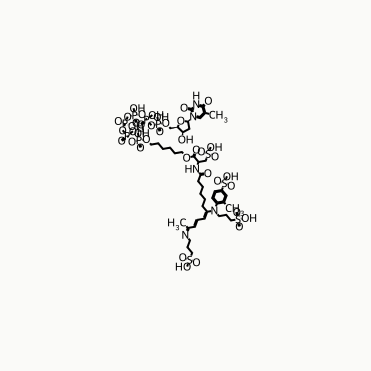 CC(/C=C/C=C(\CCCCCC(=O)NC(CS(=O)(=O)O)C(=O)OCCCCCCOP(=O)(O)OP(=O)(O)OP(=O)(O)OP(=O)(O)OP(=O)(O)OP(=O)(O)OC[C@H]1O[C@@H](n2cc(C)c(=O)[nH]c2=O)C[C@H]1O)N(CCCS(=O)(=O)O)c1ccc(S(=O)(=O)O)cc1C)=N/CCCS(=O)(=O)O